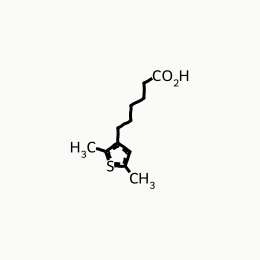 Cc1cc(CCCCCC(=O)O)c(C)s1